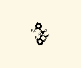 O=c1n(-c2ccccc2C(F)(F)F)nc(-c2c(F)cccc2F)n1C(F)F